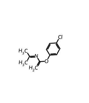 C=C(N=C(C)C)Oc1ccc(Cl)cc1